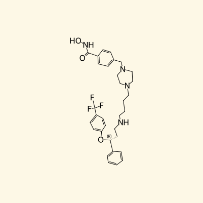 O=C(NO)c1ccc(CN2CCN(CCCCNCC[C@@H](Oc3ccc(C(F)(F)F)cc3)c3ccccc3)CC2)cc1